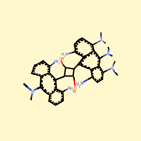 CN(C)c1c2cccc(N)c2c(C2C(O)C(c3c4c(N)ccc(N(C)C)c4c(N(C)C)c4c(N(C)C)ccc(N)c34)C2O)c2c(N)cccc12